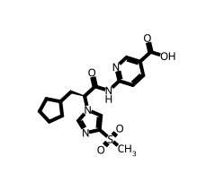 CS(=O)(=O)c1cn([C@@H](CC2CCCC2)C(=O)Nc2ccc(C(=O)O)cn2)cn1